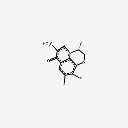 C[C@@H]1CSc2c(F)c(F)cc3c(=O)c(C(=O)O)cn1c23